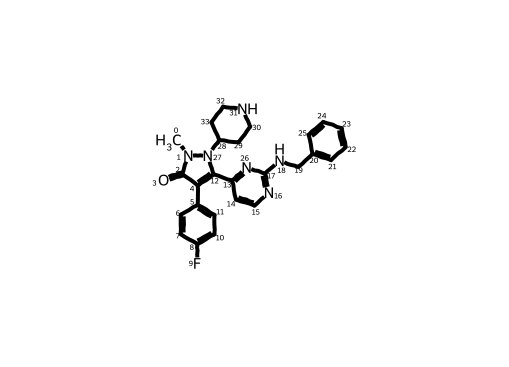 Cn1c(=O)c(-c2ccc(F)cc2)c(-c2ccnc(NCc3ccccc3)n2)n1C1CCNCC1